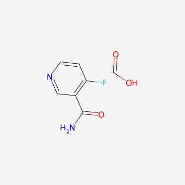 NC(=O)c1cnccc1F.O=CO